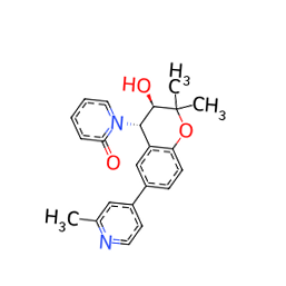 Cc1cc(-c2ccc3c(c2)[C@H](n2ccccc2=O)[C@@H](O)C(C)(C)O3)ccn1